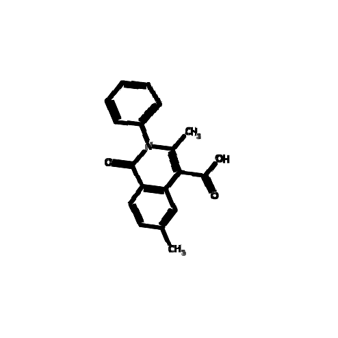 Cc1ccc2c(=O)n(-c3ccccc3)c(C)c(C(=O)O)c2c1